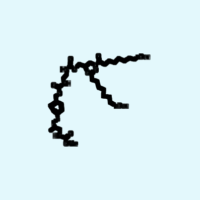 CCCCCCCCCCCCCCCCCC(=O)OCC(COC(=O)NCCNC(=O)OCc1ccc(SSC(C)CNC(=O)OC)cc1)OC(=O)CCCCCCCCCCCCCCCCC